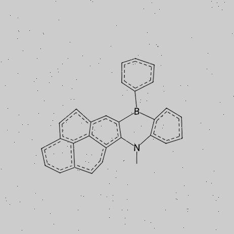 CN1c2ccccc2B(c2ccccc2)c2cc3ccc4cccc5ccc(c21)c3c45